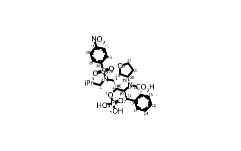 CC(C)CN(C[C@@H](OP(=O)(O)O)[C@H](Cc1ccccc1)N(C(=O)O)[C@H]1CCOC1)S(=O)(=O)c1ccc([N+](=O)[O-])cc1